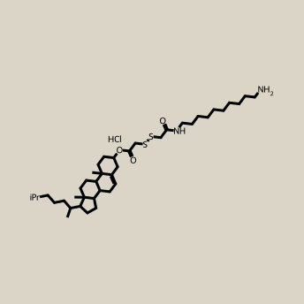 CC(C)CCCC(C)C1CCC2C3CC=C4CC(OC(=O)CSSCC(=O)NCCCCCCCCCCN)CCC4(C)C3CCC12C.Cl